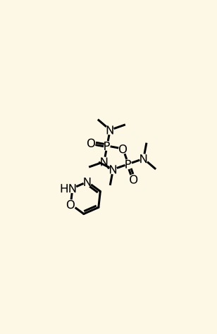 C1=CONN=C1.CN(C)P(=O)(OP(=O)(N(C)C)N(C)C)N(C)C